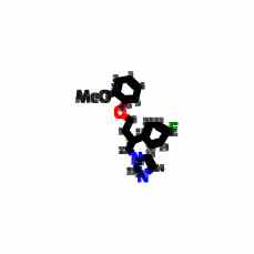 COc1ccccc1OCCC(Cn1ccnc1)c1ccc(F)cc1